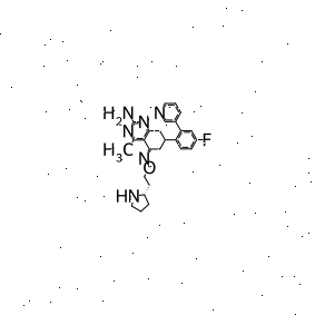 Cc1nc(N)nc2c1/C(=N/OCC[C@@H]1CCCN1)CC(c1ccc(F)cc1-c1cccnc1)C2